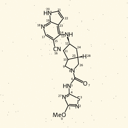 COc1nsc(NC(=O)N2CC3C[C@@H](Nc4c(C#N)cnc5[nH]ccc45)C[C@@H]3C2)n1